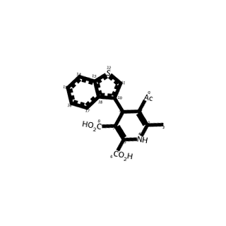 CC(=O)C1=C(C)NC(C(=O)O)=C(C(=O)O)C1c1csc2ccccc12